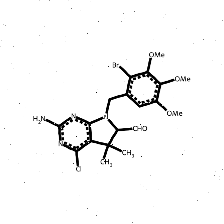 COc1cc(CN2c3nc(N)nc(Cl)c3C(C)(C)C2C=O)c(Br)c(OC)c1OC